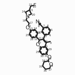 CC1=C(c2cccc(C#N)c2)C(c2ccc(OCCN3CC(CF)C3)cc2)Oc2ccc(OC3CCCCO3)cc21